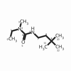 CCN(C)C(=O)NCCC(C)(C)C